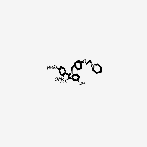 COc1ccc(-c2c(C)c3cc(O)ccc3n2Cc2ccc(OCCN3CCCCC3)cc2)c(OC)c1